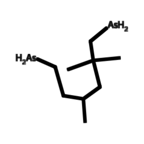 CC(CC[AsH2])CC(C)(C)C[AsH2]